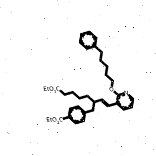 CCOC(=O)CCCCC(/C=C/c1cccnc1OCCCCCc1ccccc1)Cc1ccc(C(=O)OCC)cc1